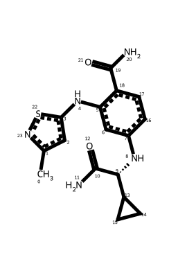 Cc1cc(Nc2cc(N[C@@H](C(N)=O)C3CC3)ccc2C(N)=O)sn1